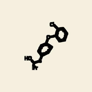 CC(C)C(O)Sc1ccc(Oc2ccccc2Cl)cc1